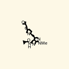 CNc1ncc(C#Cc2ccc(OCC3COC3)cn2)c2cc(NC(=O)C3CC3)ncc12